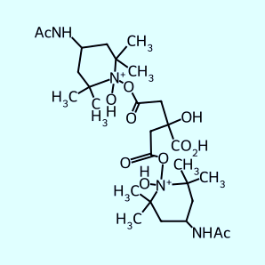 CC(=O)NC1CC(C)(C)[N+](O)(OC(=O)CC(O)(CC(=O)O[N+]2(O)C(C)(C)CC(NC(C)=O)CC2(C)C)C(=O)O)C(C)(C)C1